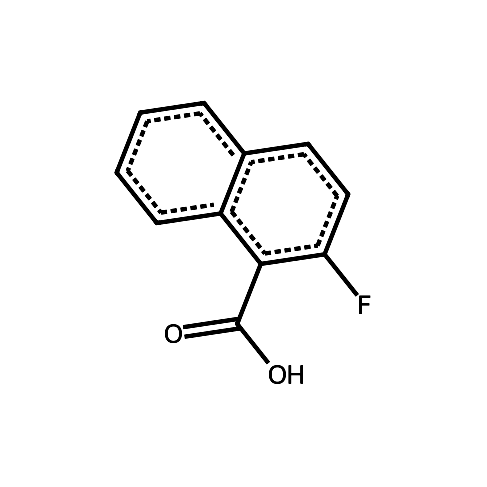 O=C(O)c1c(F)ccc2ccccc12